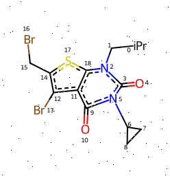 CC(C)Cn1c(=O)n(C2CC2)c(=O)c2c(Br)c(CBr)sc21